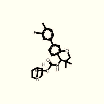 Cc1ccc(-c2ccc3c(c2)OCC(C)(C)C3NC(=O)O[C@H]2CN3CCC2CC3)cc1F